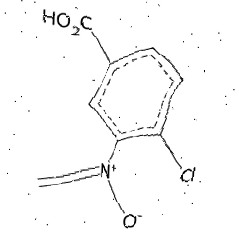 C=[N+]([O-])c1cc(C(=O)O)ccc1Cl